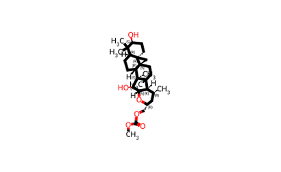 COC(=O)OC[C@H]1C[C@@H](C)[C@H]2[C@H](O1)[C@H](O)[C@@]1(C)[C@@H]3CC[C@H]4C(C)(C)[C@@H](O)CC[C@@]45C[C@@]35CC[C@]21C